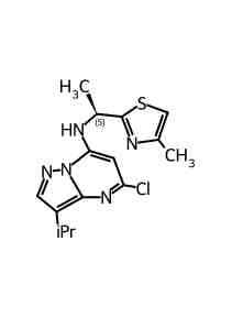 Cc1csc([C@H](C)Nc2cc(Cl)nc3c(C(C)C)cnn23)n1